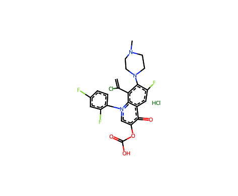 C=C(Cl)c1c(N2CCN(C)CC2)c(F)cc2c(=O)c(OC(=O)O)cn(-c3ccc(F)cc3F)c12.Cl